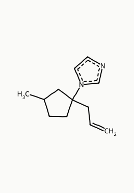 C=CCC1(n2ccnc2)CCC(C)C1